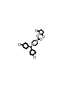 O=C(ON1C(=O)CCC1=O)N1CCN(C(c2ccc(Cl)cc2)c2ccc(Cl)cc2)CC1